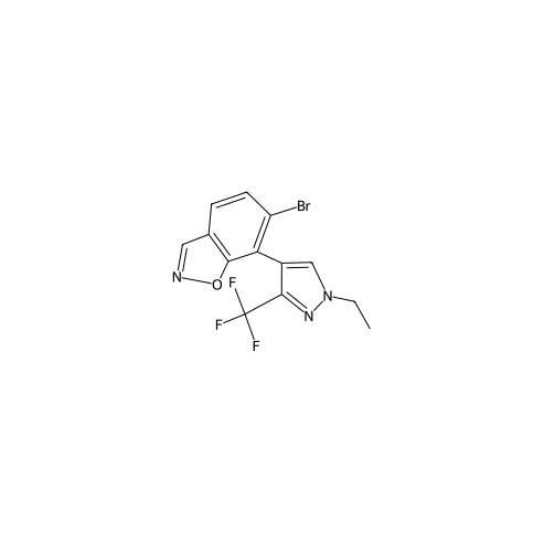 CCn1cc(-c2c(Br)ccc3cnoc23)c(C(F)(F)F)n1